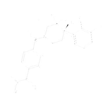 CCCN(C)C(=O)c1ccc(C(=O)N2CC[C@@](C)(c3cccc(O)c3C)C(C)(C)[C@H]2C)cc1